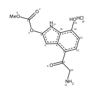 COC(=O)Oc1cc2c(C(=O)CN)ccc(O)c2[nH]1.Cl